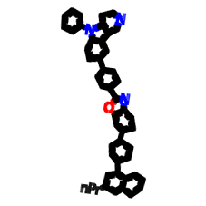 CCCc1cc(-c2ccc(-c3ccc4nc(-c5ccc(-c6ccc7c(c6)c6cnccc6n7-c6ccccc6)cc5)oc4c3)cc2)c2ccccc2c1